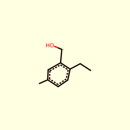 CCc1ccc(C)cc1[CH]O